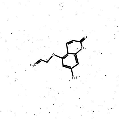 C=CCOc1cc(O)cc2oc(=O)ccc12